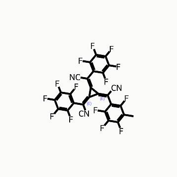 Cc1c(F)c(F)c(F)c(/C(C#N)=C2/C(=C(C#N)c3c(F)c(F)c(F)c(F)c3F)/C2=C(/C#N)c2c(F)c(F)c(F)c(F)c2F)c1F